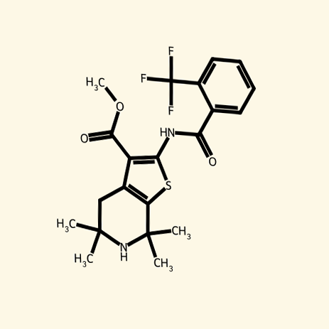 COC(=O)c1c(NC(=O)c2ccccc2C(F)(F)F)sc2c1CC(C)(C)NC2(C)C